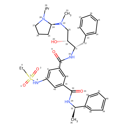 CCS(=O)(=O)Nc1cc(C(=O)N[C@@H](Cc2ccccc2)[C@H](O)CN(C)[C@H]2CCCN2C(C)C)cc(C(=O)N[C@H](C)c2ccccc2)c1